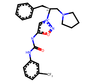 O=C([N-]c1c[n+]([C@@H](Cc2ccccc2)CN2CCCC2)no1)Nc1cccc(C(F)(F)F)c1